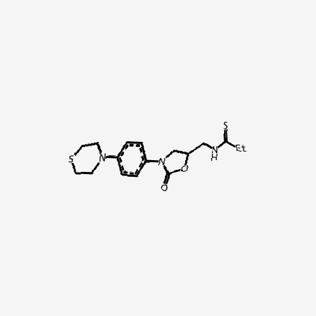 CCC(=S)NCC1CN(c2ccc(N3CCSCC3)cc2)C(=O)O1